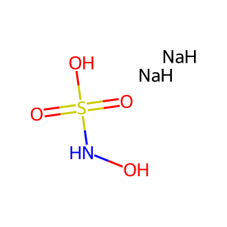 O=S(=O)(O)NO.[NaH].[NaH]